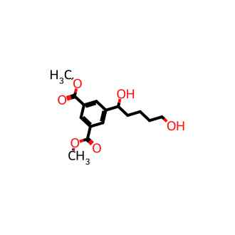 COC(=O)c1cc(C(=O)OC)cc(C(O)CCCCO)c1